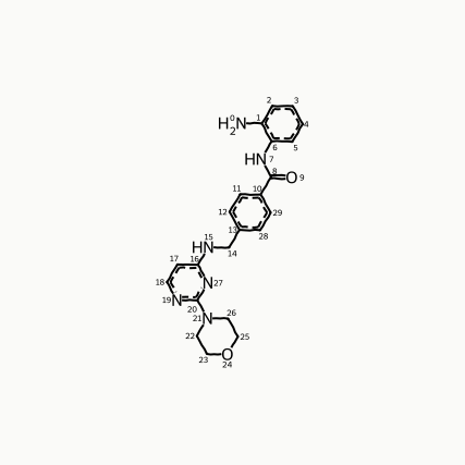 Nc1ccccc1NC(=O)c1ccc(CNc2ccnc(N3CCOCC3)n2)cc1